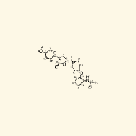 COc1ccc(N2C[C@H](CN3CCC(Oc4ccccc4NC(C)=O)CC3)OC2=O)cc1